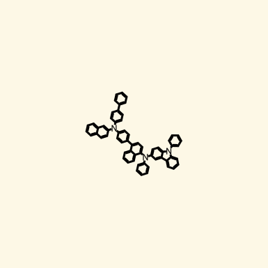 c1ccc(-c2ccc(N(c3ccc(-c4ccc(N(c5ccccc5)c5ccc6c(c5)c5ccccc5n6-c5ccccc5)c5ccccc45)cc3)c3ccc4ccccc4c3)cc2)cc1